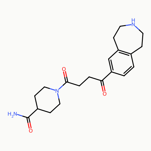 NC(=O)C1CCN(C(=O)CCC(=O)c2ccc3c(c2)CCNCC3)CC1